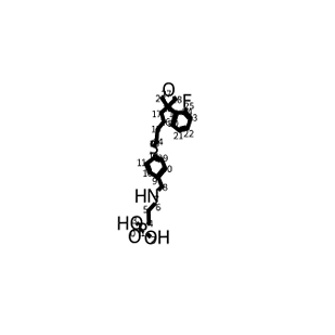 O=P(O)(O)CCCNCc1ccc(SCCCCC2(c3ccccc3F)COC2)cc1